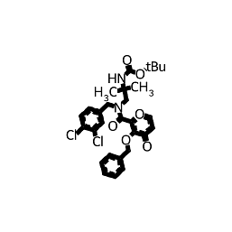 CC(C)(CN(Cc1ccc(Cl)c(Cl)c1)C(=O)c1occc(=O)c1OCc1ccccc1)NC(=O)OC(C)(C)C